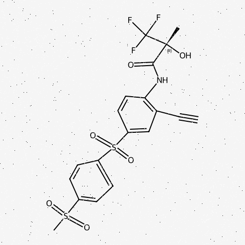 C#Cc1cc(S(=O)(=O)c2ccc(S(C)(=O)=O)cc2)ccc1NC(=O)[C@@](C)(O)C(F)(F)F